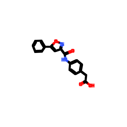 O=C(O)Cc1ccc(NC(=O)c2cc(-c3ccccc3)on2)cc1